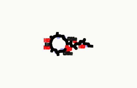 C/C=C/C(O)C(C)/C=C/C(=O)C(C)C(O)C(C)C1OC(=O)/C(OC)=C/C(C)=C/C(C)C(O)C(CC)C(O)C(C)C/C(C)=C/C=C/C1OC